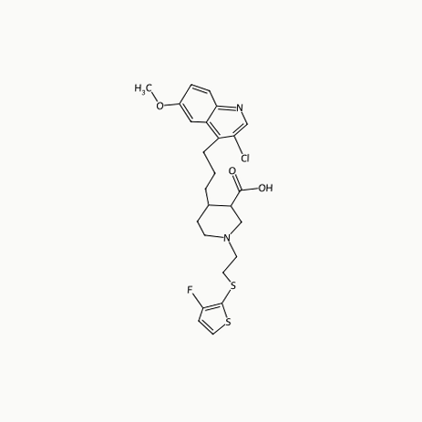 COc1ccc2ncc(Cl)c(CCCC3CCN(CCSc4sccc4F)CC3C(=O)O)c2c1